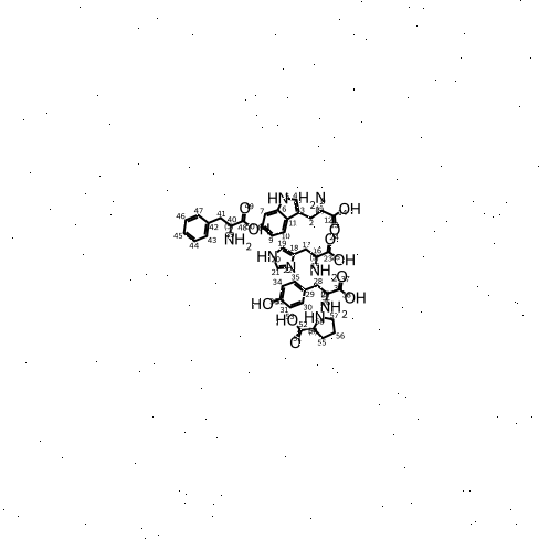 N[C@@H](Cc1c[nH]c2ccccc12)C(=O)O.N[C@@H](Cc1c[nH]cn1)C(=O)O.N[C@@H](Cc1ccc(O)cc1)C(=O)O.N[C@@H](Cc1ccccc1)C(=O)O.O=C(O)[C@@H]1CCCN1